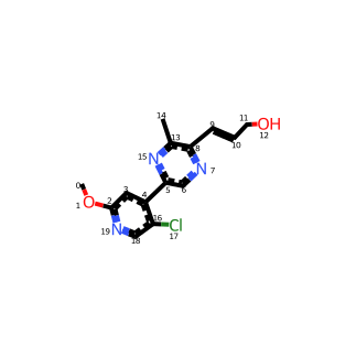 COc1cc(-c2cnc(C=CCO)c(C)n2)c(Cl)cn1